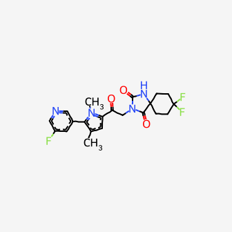 Cc1cc(C(=O)CN2C(=O)NC3(CCC(F)(F)CC3)C2=O)n(C)c1-c1cncc(F)c1